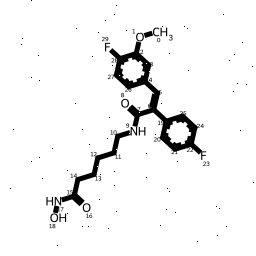 COc1cc(C=C(C(=O)NCCCCCC(=O)NO)c2ccc(F)cc2)ccc1F